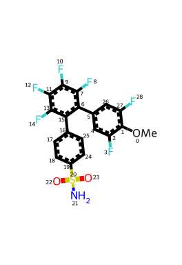 COc1c(F)cc(-c2c(F)c(F)c(F)c(F)c2-c2ccc(S(N)(=O)=O)cc2)cc1F